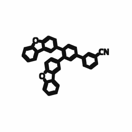 N#Cc1cccc(-c2ccc(-c3ccc4oc5ccccc5c4c3)c(-c3ccc4oc5ccccc5c4c3)c2)c1